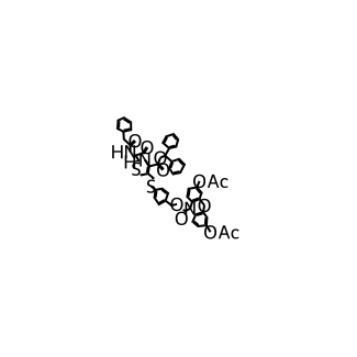 CC(=O)Oc1ccc2c(c1)Oc1cc(OC(C)=O)ccc1N2C(=O)OCc1ccc(SCC2=C(C(=O)OC(c3ccccc3)c3ccccc3)N3C(=O)[C@@H](NC(=O)Cc4ccccc4)[C@H]3SC2)cc1